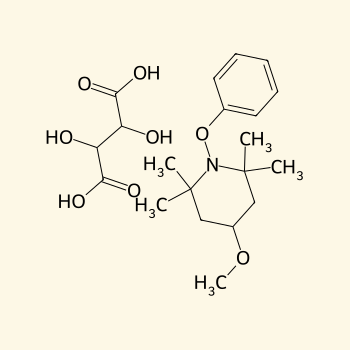 COC1CC(C)(C)N(Oc2ccccc2)C(C)(C)C1.O=C(O)C(O)C(O)C(=O)O